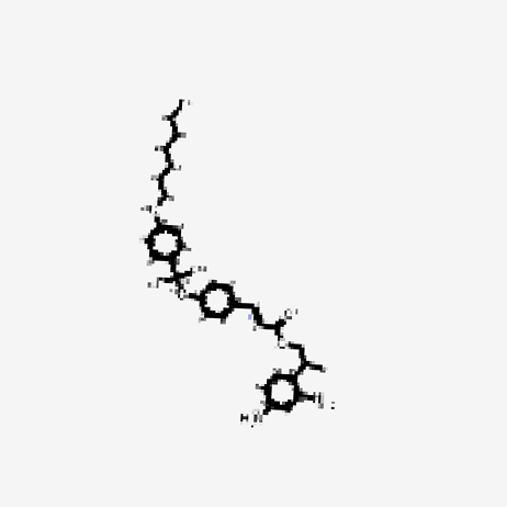 [CH2]C(COC(=O)/C=C/c1ccc(OC(F)(F)c2ccc(OCCCCCCF)cc2)cc1)c1ccc(N)cc1N